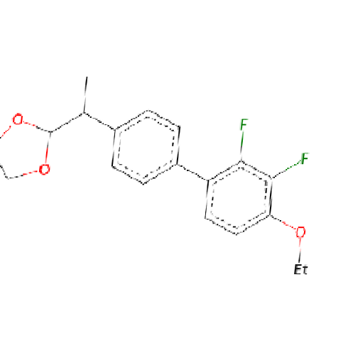 CCOc1ccc(-c2ccc(C(C)C3OCCO3)cc2)c(F)c1F